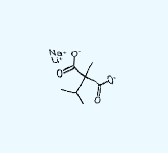 CC(C)C(C)(C(=O)[O-])C(=O)[O-].[Li+].[Na+]